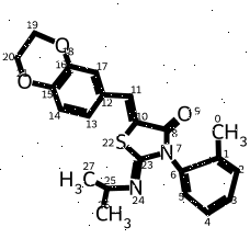 Cc1ccccc1N1C(=O)/C(=C/c2ccc3c(c2)OCCO3)S/C1=N\C(C)C